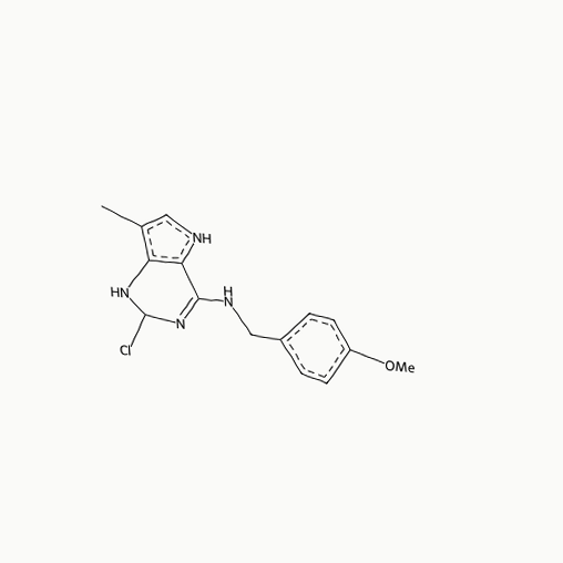 COc1ccc(CNC2=NC(Cl)Nc3c(C)c[nH]c32)cc1